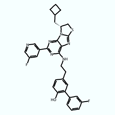 Oc1ccc(CCNc2nc(-c3cncc(F)c3)nc3c2nc2n3[C@H](CC3CCC3)CS2)cc1-c1cccc(F)c1